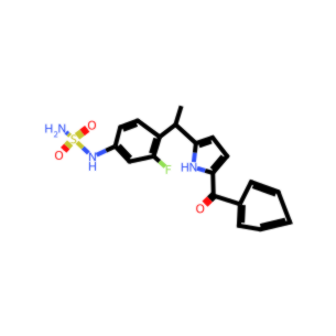 CC(c1ccc(C(=O)c2ccccc2)[nH]1)c1ccc(NS(N)(=O)=O)cc1F